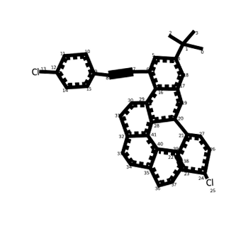 CC(C)(C)c1cc(C#Cc2ccc(Cl)cc2)c2c(c1)cc(-c1ccc(Cl)cc1)c1c2ccc2ccc3ccccc3c21